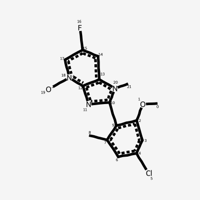 COc1cc(Cl)cc(C)c1-c1nc2c(cc(F)c[n+]2[O-])n1C